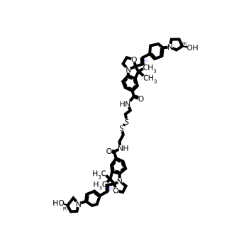 CC1(C)c2cc(C(=O)NCCSSCCNC(=O)c3ccc4c(c3)C(C)(C)C3(/C=C/C5=CC=C(N6CC[C@@H](O)C6)CC5)OCCN43)ccc2N2CCOC21/C=C/C1=CC=C(N2CC[C@@H](O)C2)CC1